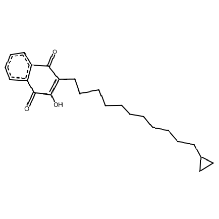 O=C1C(O)=C(CCCCCCCCCCCC2CC2)C(=O)c2ccccc21